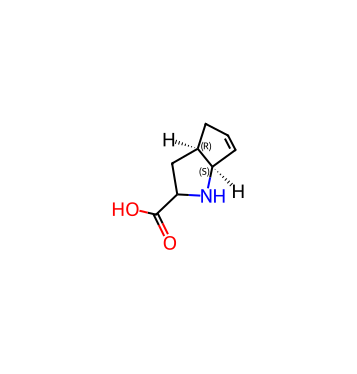 O=C(O)C1C[C@H]2CC=C[C@H]2N1